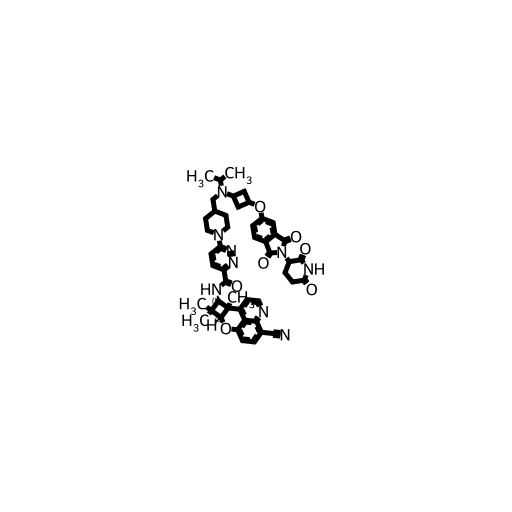 CC(C)N(CC1CCN(c2ccc(C(=O)N[C@H]3C(C)(C)[C@@H]4Oc5ccc(C#N)c6nccc(c56)C34C)nn2)CC1)C1CC(Oc2ccc3c(c2)C(=O)N(C2CCC(=O)NC2=O)C3=O)C1